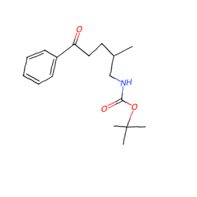 CC(CCC(=O)c1ccccc1)CNC(=O)OC(C)(C)C